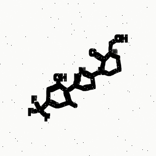 Cc1cc(C(F)(F)F)cc(O)c1-c1ccc(N2CCC[C@H](CO)C2=O)nn1